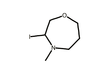 CN1CCCOCC1I